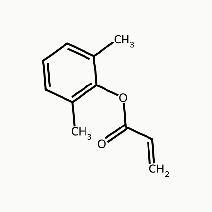 C=CC(=O)Oc1c(C)cccc1C